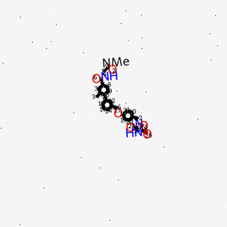 CNC(=O)CNC(=O)c1ccc(-c2cccc(COc3ccc(Cn4oc(=O)[nH]c4=O)cc3)c2)c(C)c1